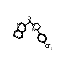 O=C(c1cnc2ccccc2c1)N1CCC(c2ccc(C(F)(F)F)cc2)=N1